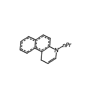 CCCN1C=CCc2c1ccc1ccccc21